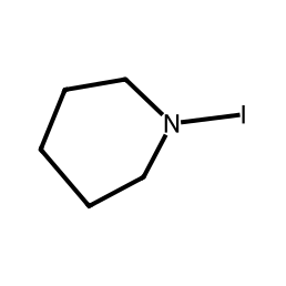 IN1CCCCC1